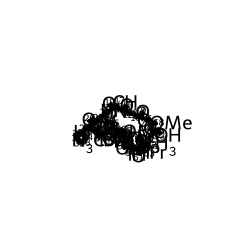 CCC(CO)OC(COC(=O)CCCC(=O)N[C@@H](C)C(=O)OCCCNC(=O)C(Cc1ccccc1)NC(=O)[C@H](C)[C@@H](OC)[C@@H]1CCCN1C(=O)C[C@@H](OC)[C@H]([C@@H](C)CC)N(C)C(=O)[C@@H](NC(=O)[C@H](C(C)C)N(C)C)C(C)C)OC